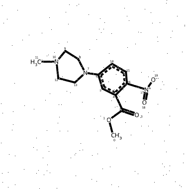 COC(=O)c1cc(N2CCN(C)CC2)ccc1[N+](=O)[O-]